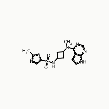 Cc1ncc(S(=O)(=O)NC2CC(N(C)c3ncnc4[nH]ccc34)C2)s1